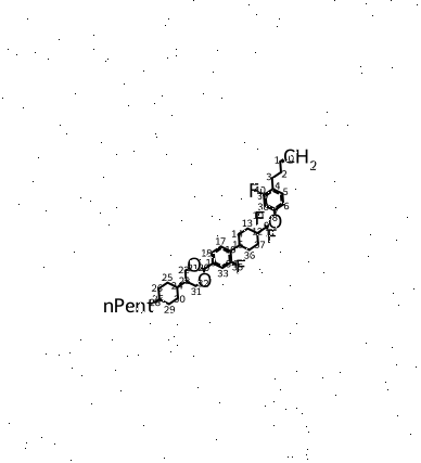 C=CCCc1ccc(OC(F)(F)C2CCC(c3ccc(C4OCC(C5CCC(CCCCC)CC5)CO4)cc3F)CC2)cc1F